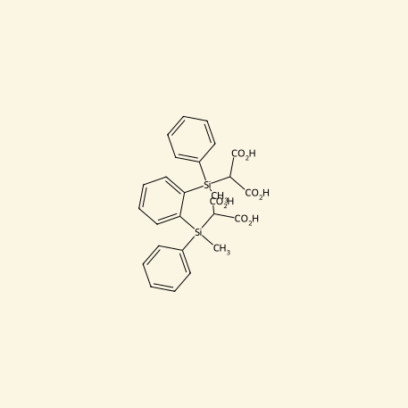 C[Si](c1ccccc1)(c1ccccc1[Si](C)(c1ccccc1)C(C(=O)O)C(=O)O)C(C(=O)O)C(=O)O